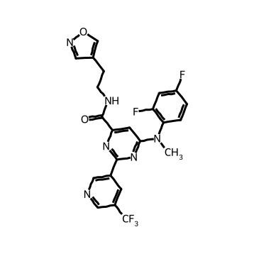 CN(c1cc(C(=O)NCCc2cnoc2)nc(-c2cncc(C(F)(F)F)c2)n1)c1ccc(F)cc1F